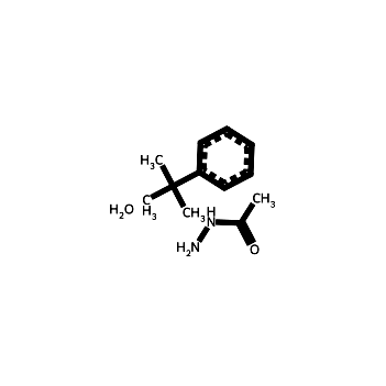 CC(=O)NN.CC(C)(C)c1ccccc1.O